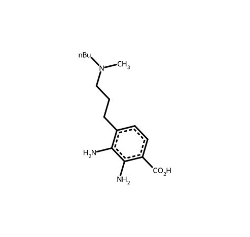 CCCCN(C)CCCc1ccc(C(=O)O)c(N)c1N